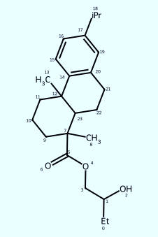 CCC(O)COC(=O)C1(C)CCCC2(C)c3ccc(C(C)C)cc3CCC12